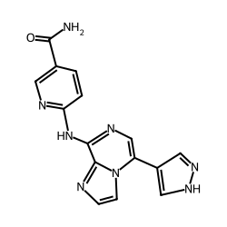 NC(=O)c1ccc(Nc2ncc(-c3cn[nH]c3)n3ccnc23)nc1